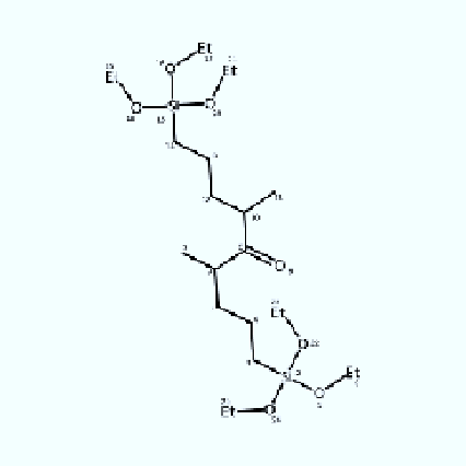 CCO[Si](CCCC(C)C(=O)C(C)CCC[Si](OCC)(OCC)OCC)(OCC)OCC